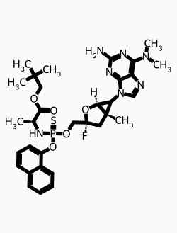 C[C@H](NP(=S)(OC[C@]1(F)C[C@@]2(C)C(n3cnc4c(N(C)C)nc(N)nc43)[C@@H]2O1)Oc1cccc2ccccc12)C(=O)OCC(C)(C)C